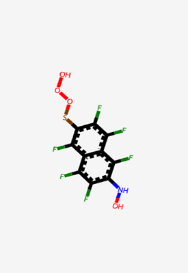 ONc1c(F)c(F)c2c(F)c(SOOO)c(F)c(F)c2c1F